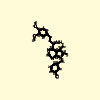 COc1ccc(CCC(N)c2ncnc3c2c(C)c(C)n3Cc2cccc(Cl)c2)cc1OC